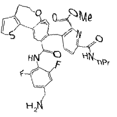 CCCNC(=O)c1ccc(-c2cc3c(cc2C(=O)Nc2c(F)cc(CN)cc2F)-c2sccc2CCO3)c(C(=O)OC)n1